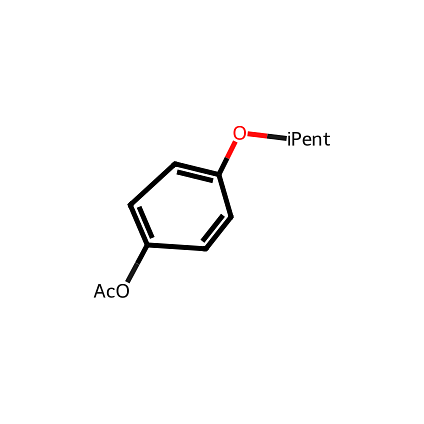 CCCC(C)Oc1ccc(OC(C)=O)cc1